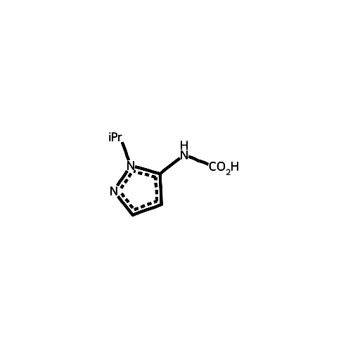 CC(C)n1nccc1NC(=O)O